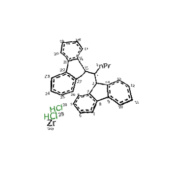 CCCC(C1c2ccccc2-c2ccccc21)C1c2ccccc2-c2ccccc21.Cl.Cl.[Zr]